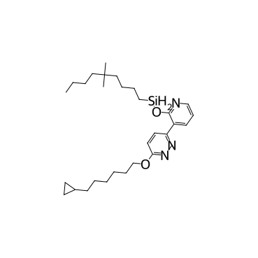 CCCCC(C)(C)CCCC[SiH2]Oc1ncccc1-c1ccc(OCCCCCCC2CC2)nn1